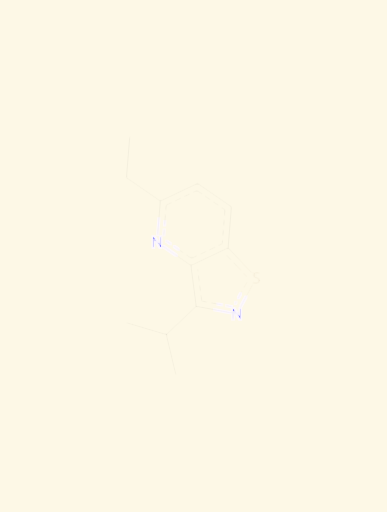 CCc1ccc2snc(C(C)C)c2n1